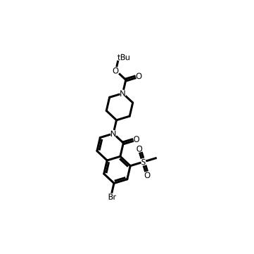 CC(C)(C)OC(=O)N1CCC(n2ccc3cc(Br)cc(S(C)(=O)=O)c3c2=O)CC1